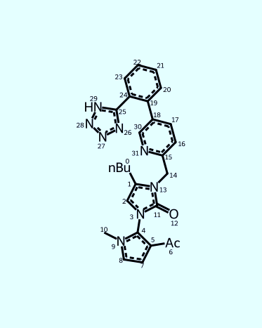 CCCCc1cn(-c2c(C(C)=O)ccn2C)c(=O)n1Cc1ccc(-c2ccccc2-c2nnn[nH]2)cn1